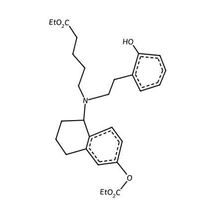 CCOC(=O)CCCCN(CCc1ccccc1O)C1CCCc2cc(OC(=O)OCC)ccc21